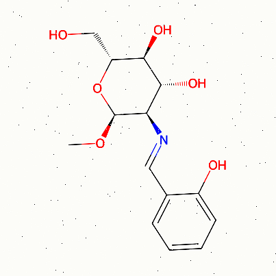 CO[C@H]1O[C@H](CO)[C@@H](O)[C@H](O)[C@H]1N=Cc1ccccc1O